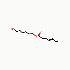 C=CC=CC=CC(=O)OCCCCCCBr